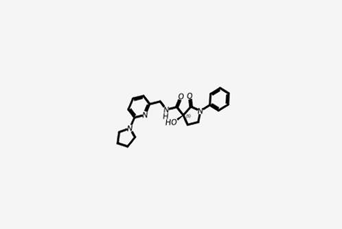 O=C(NCc1cccc(N2CCCC2)n1)[C@@]1(O)CCN(c2ccccc2)C1=O